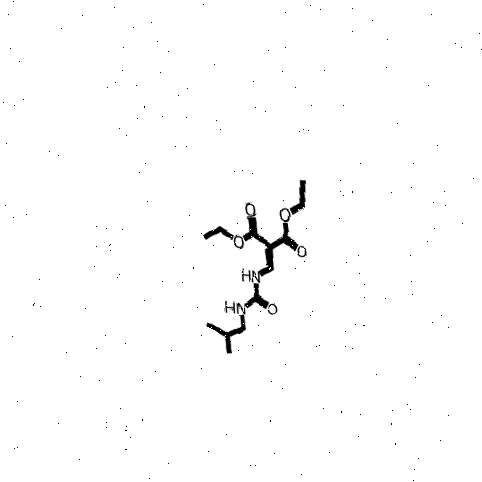 CCOC(=O)C(=CNC(=O)NCC(C)C)C(=O)OCC